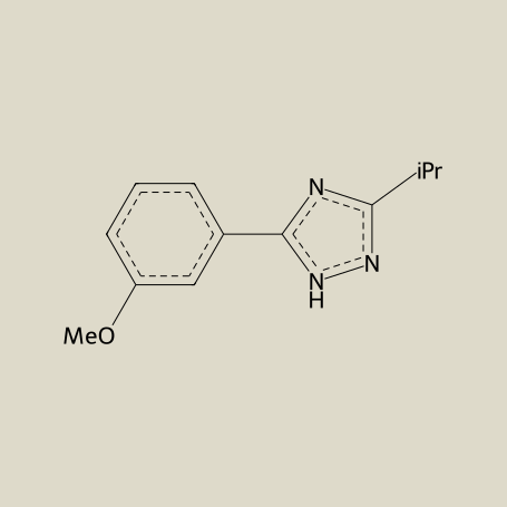 COc1cccc(-c2nc(C(C)C)n[nH]2)c1